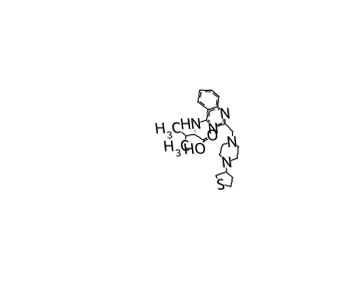 CC(C)[C@H](Nc1nc(CN2CCN(C3CCSC3)CC2)nc2ccccc12)C(=O)O